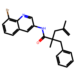 C=C(C)CC(C)(Cc1ccccc1)C(=O)Nc1cnc2c(Br)cccc2c1